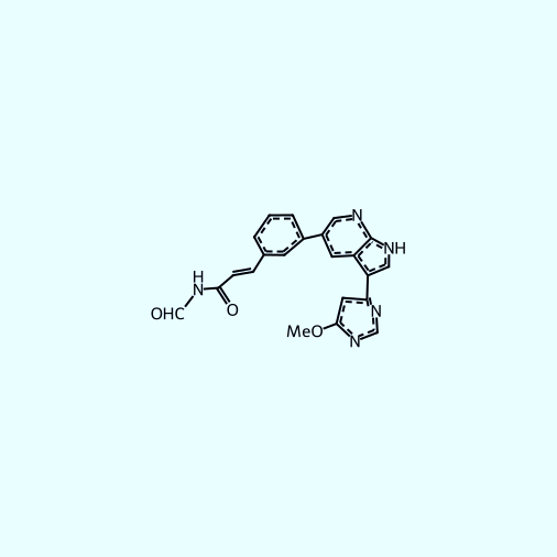 COc1cc(-c2c[nH]c3ncc(-c4cccc(C=CC(=O)NC=O)c4)cc23)ncn1